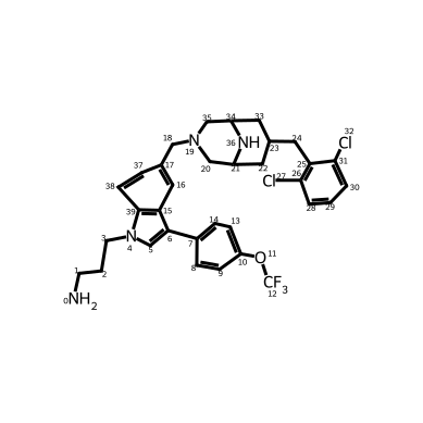 NCCCn1cc(-c2ccc(OC(F)(F)F)cc2)c2cc(CN3CC4CC(Cc5c(Cl)cccc5Cl)CC(C3)N4)ccc21